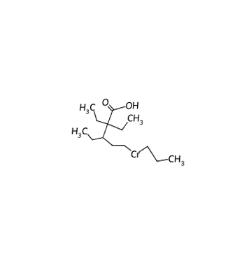 CC[CH2][Cr][CH2]CC(CC)C(CC)(CC)C(=O)O